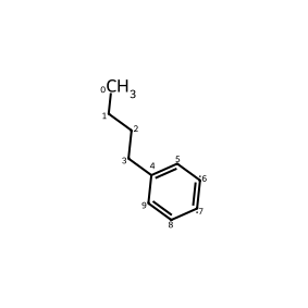 CCCCc1c[c][c]cc1